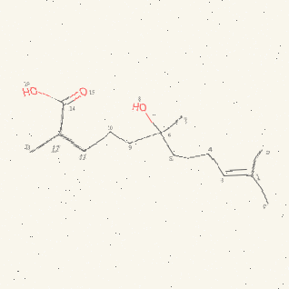 CC(C)=CCCC(C)(O)CCCC(C)C(=O)O